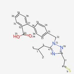 CC(C)Cc1nc(CC=S)nn1Cc1ccc(-c2ccccc2C(=O)O)cc1